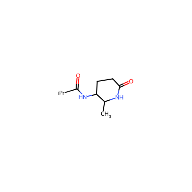 CC(C)C(=O)NC1CCC(=O)NC1C